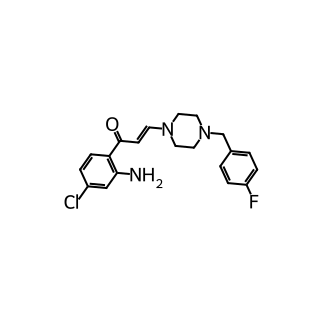 Nc1cc(Cl)ccc1C(=O)/C=C/N1CCN(Cc2ccc(F)cc2)CC1